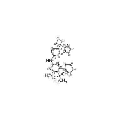 CC(C)(C)c1c(N)nc(Nc2ccc(C3(c4ncco4)CCC3)cc2)nc1-c1ccccc1